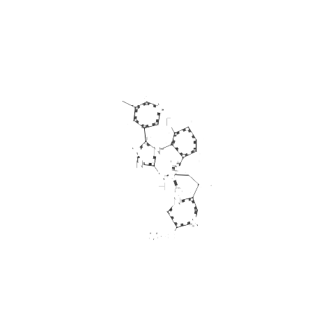 COc1cnc([C@@H](C)[C@@H](C)S(=O)(=O)Nc2nnc(-c3cncc(C)c3)n2-c2c(F)cccc2F)cn1